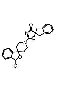 O=C1OC2(CCN(C3=NC(=O)C4(Cc5ccccc5C4)O3)CC2)c2ccccc21